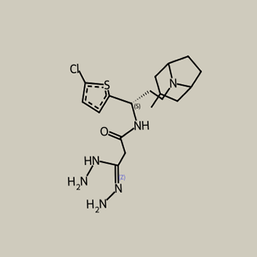 CC1CC2CCC(C1)N2CC[C@H](NC(=O)C/C(=N/N)NN)c1ccc(Cl)s1